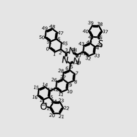 C1=CC(c2nc(-c3ccc4ccc(-c5cccc6oc7ccccc7c56)cc4c3)nc(-c3ccc4sc5ccccc5c4c3)n2)Cc2ccccc21